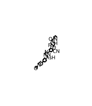 N#Cc1cc(-c2ncnc([AsH]c3ccc(N4CCN(C5COC5)CC4)cc3)n2)ccc1OC1CCN(C(=O)c2ccc[nH]2)CC1(F)F